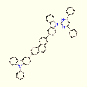 c1ccc(-c2cc(-c3ccccc3)nc(-n3c4ccccc4c4cc(-c5ccc6c(ccc7cc(-c8ccc9c(c8)c8ccccc8n9-c8ccccc8)ccc76)c5)ccc43)n2)cc1